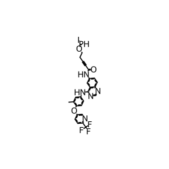 Cc1cc(Nc2ncnc3ccc(NC(=O)C#CCCOPI)cc23)ccc1Oc1ccc(C(F)(F)F)nc1